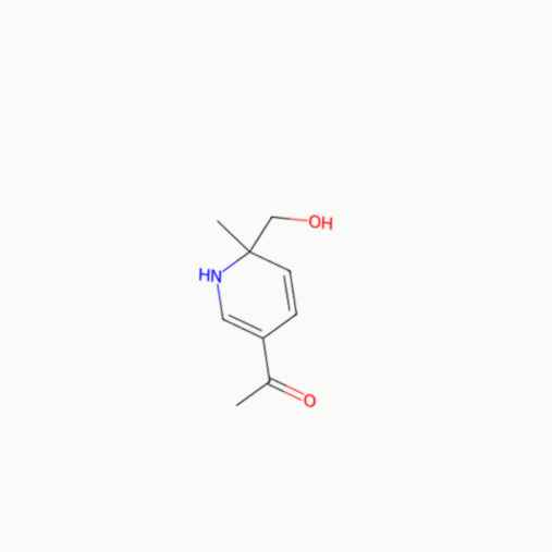 CC(=O)C1=CNC(C)(CO)C=C1